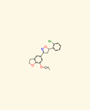 COc1cc(C2=NOC(c3ccccc3Br)C2)cc2c1OCC2